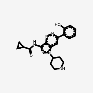 O=C(Nc1nn(C2CCNCC2)c2cc(-c3ccccc3O)nnc12)C1CC1